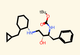 CC(C)(C)OC(=O)N[C@@H](Cc1ccccc1)[C@H](O)CN[C@H]1CCCCC1CC1CC1